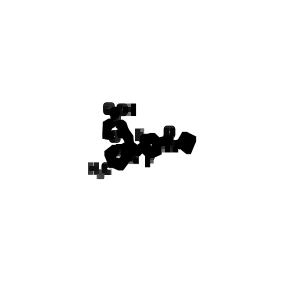 Cc1ccn2c(CC3CN(C(=O)O)CCO3)c(-c3c(F)cc(C(=O)NC4CCC4)cc3F)nc2c1